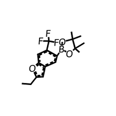 CCc1cc2cc(B3OC(C)(C)C(C)(C)O3)c(C(F)(F)F)cc2o1